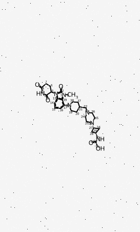 Cn1c(=O)n(C2CCC(=O)NC2=O)c2cccc(N3CCC(CN4CCN([C@H]5C[C@H](NC(=O)O)C5)CC4)CC3)c21